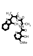 COc1ccnc(C(=O)N[C@@H](C)C(=O)OC(C)C(C)c2sc3ccccc3c2C)c1O